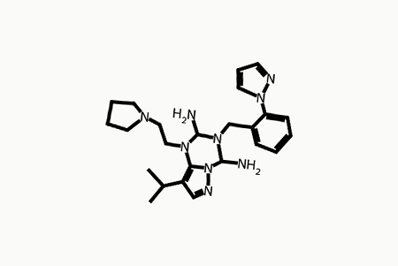 CC(C)c1cnn2c1N(CCN1CCCC1)C(N)N(Cc1ccccc1-n1cccn1)C2N